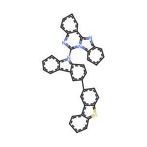 c1ccc2c(c1)nc(-n1c3ccccc3c3cc(-c4ccc5sc6ccccc6c5c4)ccc31)n1c3ccccc3nc21